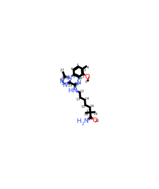 COc1c(C)ccc2c1nc(NCCCCCC(C)(C)C(N)=O)c1nnc(C)n12